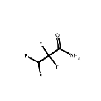 NC(=O)C(F)(F)C(F)F